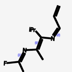 C=C\C=N/C(=C(C)/N=C(\C)F)C(C)C